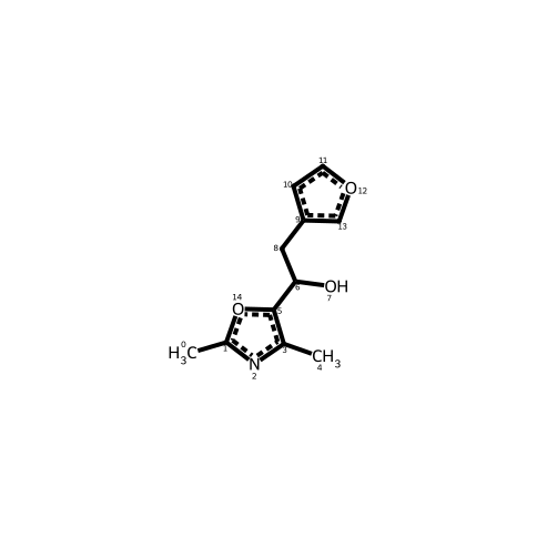 Cc1nc(C)c(C(O)Cc2ccoc2)o1